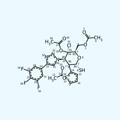 CC(=O)OC[C@H]1O[C@H](S)[C@@](OC(C)=O)(c2cccs2)[C@@H](n2cc(-c3cc(F)c(F)c(F)c3)nn2)[C@@]1(Cl)OC(C)=O